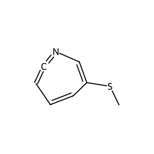 CSC1=CN=C=CC=C1